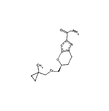 CC1(COC[C@@H]2CCn3nc(C(N)=O)cc3O2)CC1